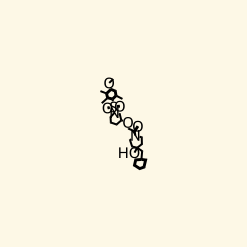 COc1cc(C)c(S(=O)(=O)N2CCCC(OCC(=O)N3CCC(O)(Cc4ccccc4)CC3)C2)c(C)c1C